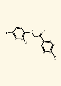 O=C(COc1ccc(F)cc1Cl)c1ccc(Cl)cc1